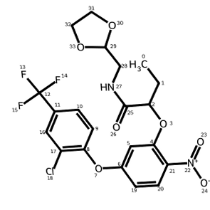 CCC(Oc1cc(Oc2ccc(C(F)(F)F)cc2Cl)ccc1[N+](=O)[O-])C(=O)NCC1OCCO1